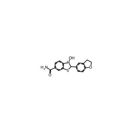 NC(=O)c1ccc2c(c1)SC(c1ccc3c(c1)CCO3)N2O